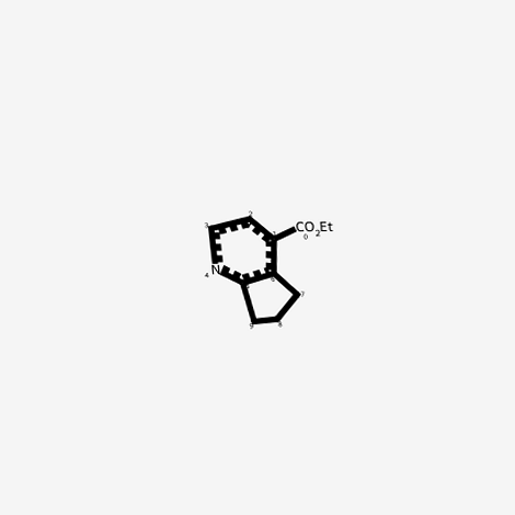 CCOC(=O)c1ccnc2c1CCC2